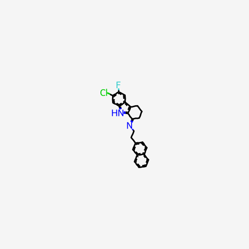 Fc1cc2c3c([nH]c2cc1Cl)/C(=N/CCc1ccc2ccccc2c1)CCC3